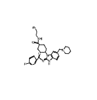 CC(C)CCNC(=O)C1CCC(n2/c(=N\C(=O)c3ccc(F)cc3)[nH]c3ccc(CN4CCCCC4)cc32)CC1